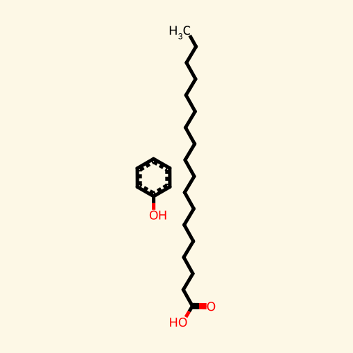 CCCCCCCCCCCCCCCCCC(=O)O.Oc1ccccc1